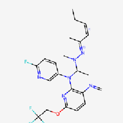 C=Nc1ccc(OCC(F)(F)F)nc1N(c1ccc(F)nc1)C(C)N(C)/N=C(C)/C=C\CC